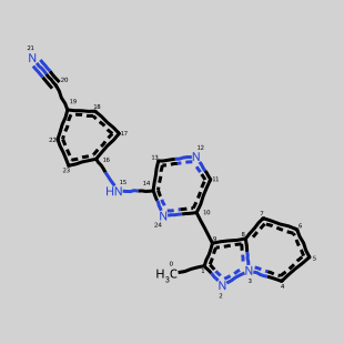 Cc1nn2ccccc2c1-c1cncc(Nc2ccc(C#N)cc2)n1